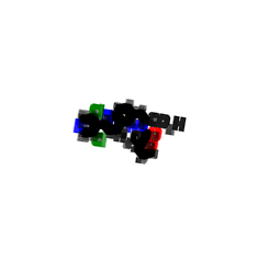 C[C@@]1(C(=O)N[C@@H](Cc2ccc3nc(-c4c(Cl)cncc4Cl)ccc3c2)C(=O)O)CCCO1